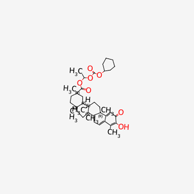 CC1=C(O)C(=O)C=C2C1=CC=C1[C@@]2(C)CC[C@@]2(C)[C@@H]3C[C@](C)(C(=O)OC(C)OC(=O)OC4CCCCC4)CC[C@]3(C)CC[C@]12C